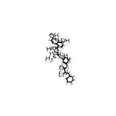 CCN(CC1CCCCC1)C(=O)Cc1cccc(CC(C)(C)NC[C@@H](O)c2ccc(O)c3[nH]c(=O)ccc23)c1